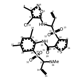 C=CC(Nc1onc(C)c1Cl)S(=O)(=O)c1ccsc1C(=O)Nc1c(C)cc(C)cc1S(=O)(=O)C(C=C)NC